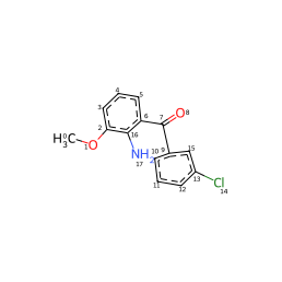 COc1cccc(C(=O)c2cccc(Cl)c2)c1N